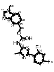 Cc1nc(-c2ccc(F)cc2F)sc1NC(O)OCc1ccc2c(c1)ncn2C